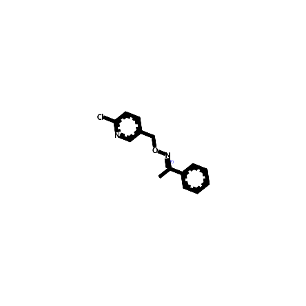 C/C(=N\OCc1ccc(Cl)nc1)c1ccccc1